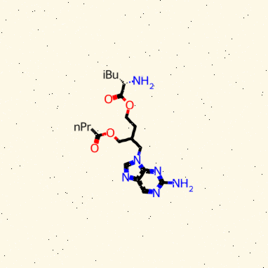 CCCC(=O)OCC(CCOC(=O)[C@@H](N)[C@@H](C)CC)Cn1cnc2cnc(N)nc21